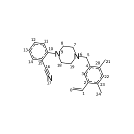 C=Cc1cc(CN2CCN(c3ccccc3C#N)CC2)c(C)cc1C